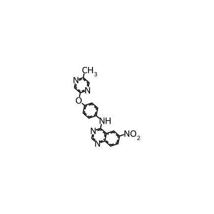 Cc1cnc(Oc2ccc(Nc3ncnc4ccc([N+](=O)[O-])cc34)cc2)cn1